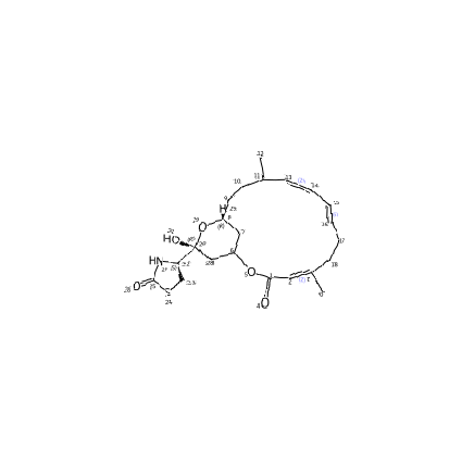 C/C1=C/C(=O)OC2C[C@@H](CCC(C)/C=C\C=C\CC1)O[C@@](O)([C@H]1CSC(=O)N1)C2